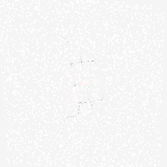 CCCC(OC(=O)OC(CCC)C(F)(F)C(F)F)C(F)(F)C(F)F